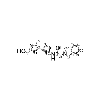 Cc1nc(CO)sc1-c1csc(NC(=O)CN2Cc3ccccc3C2)n1